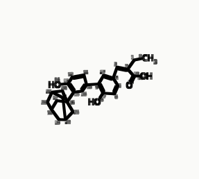 CCC(=Cc1ccc(O)c(-c2ccc(O)c(C34CC5CC(CC(C5)C3)C4)c2)c1)C(=O)O